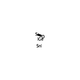 O=S.[Ge].[Sn]